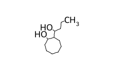 CCCC(O)C1CCCCCCC1O